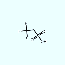 O=S(=O)(O)CC(F)(F)Cl